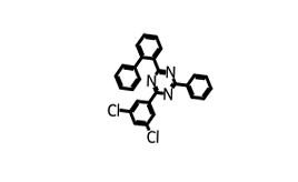 Clc1cc(Cl)cc(-c2nc(-c3ccccc3)nc(-c3ccccc3-c3ccccc3)n2)c1